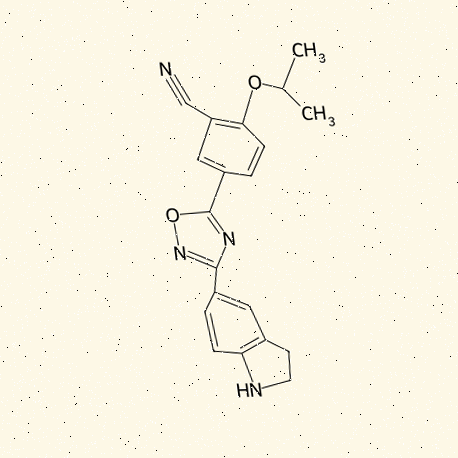 CC(C)Oc1ccc(-c2nc(-c3ccc4c(c3)CCN4)no2)cc1C#N